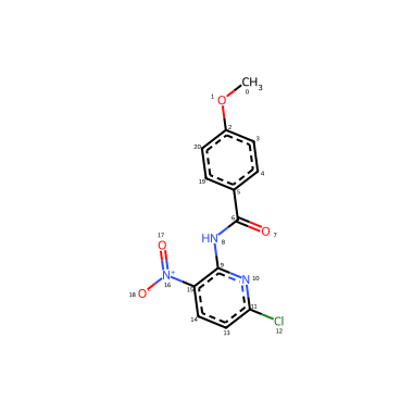 COc1ccc(C(=O)Nc2nc(Cl)ccc2[N+](=O)[O-])cc1